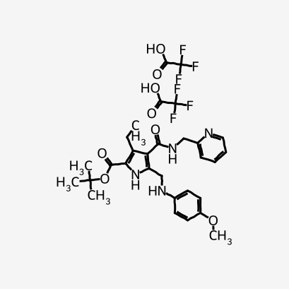 CCc1c(C(=O)OC(C)(C)C)[nH]c(CNc2ccc(OC)cc2)c1C(=O)NCc1ccccn1.O=C(O)C(F)(F)F.O=C(O)C(F)(F)F